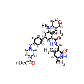 CCCCCCCCCCC(=O)N1CCN(Cc2ccc(-c3cc(C(=O)NCc4c(C)cc(C)[nH]c4=O)c(C)c(N(CC)C4CCOCC4)c3)cc2)CC1